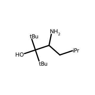 CC(C)CC(N)C(O)(C(C)(C)C)C(C)(C)C